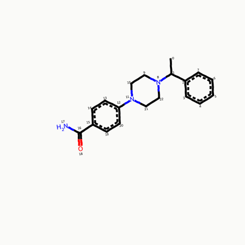 CC(c1ccccc1)N1CCN(c2ccc(C(N)=O)cc2)CC1